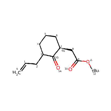 C=CCC1CCC[C@@H](CC(=O)OC(C)(C)C)C1=O